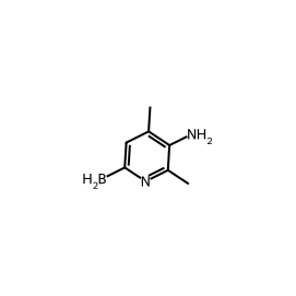 Bc1cc(C)c(N)c(C)n1